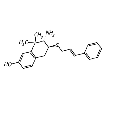 CC1(C)c2cc(O)ccc2C[C@H](SCC=Cc2ccccc2)[C@H]1N